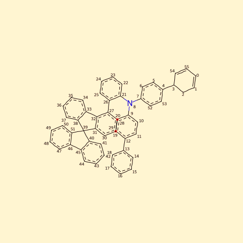 C1=CCC(c2ccc(N(c3ccc(-c4ccccc4)cc3)c3ccccc3-c3cccc4c3-c3ccccc3C43c4ccccc4-c4ccccc43)cc2)C=C1